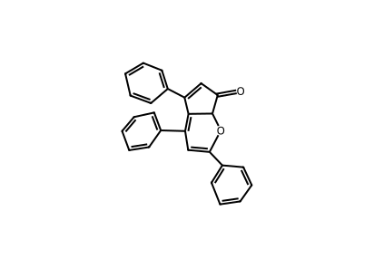 O=C1C=C(c2ccccc2)C2=C(c3ccccc3)C=C(c3ccccc3)OC12